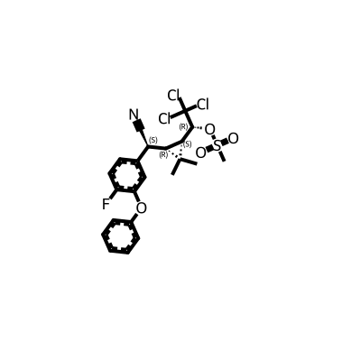 CC1(C)[C@@H]([C@@H](OS(C)(=O)=O)C(Cl)(Cl)Cl)[C@H]1[C@H](C#N)c1ccc(F)c(Oc2ccccc2)c1